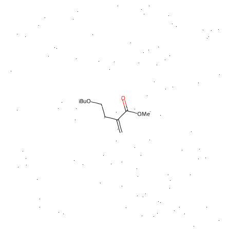 C=C(CCOCC(C)C)C(=O)OC